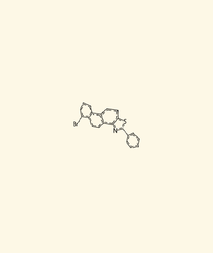 Brc1cccc2c1ccc1c2ccc2sc(-c3ccccc3)nc21